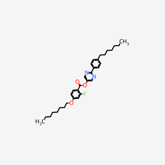 CCCCCCCCOc1ccc(C(=O)Oc2cnc(-c3ccc(CCCCCCC)cc3)nc2)c(F)c1